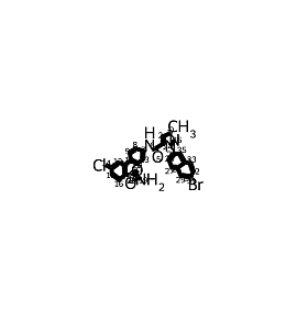 Cc1cc(C(=O)Nc2ccc(-c3cc(Cl)ccc3S(N)(=O)=O)cc2)n(-c2ccc3cc(Br)ccc3c2)n1